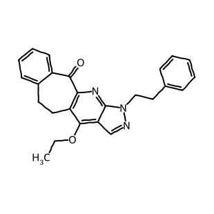 CCOc1c2c(nc3c1cnn3CCc1ccccc1)C(=O)c1ccccc1CC2